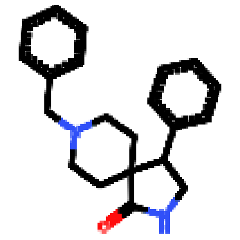 O=C1NCC(c2ccccc2)C12CCN(Cc1ccccc1)CC2